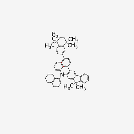 CC1(C)CCC(C)(C)c2cc(-c3ccc(-c4cc5c(cc4N(c4ccccc4)c4cccc6c4CCCC6)C(C)(C)c4ccccc4-5)cc3)ccc21